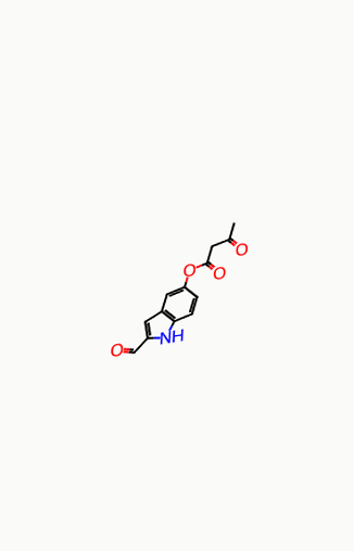 CC(=O)CC(=O)Oc1ccc2[nH]c(C=O)cc2c1